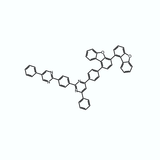 c1ccc(-c2cnc(-c3ccc(-c4nc(-c5ccccc5)cc(-c5ccc(-c6ccc(-c7cccc8oc9ccccc9c78)c7oc8ccccc8c67)cc5)n4)cc3)nc2)cc1